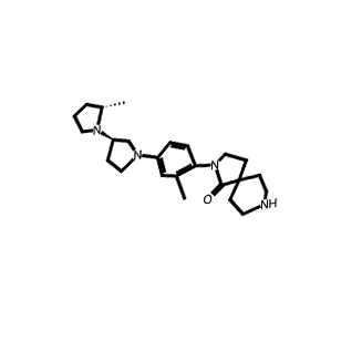 Cc1cc(N2CC[C@@H](N3CCC[C@@H]3C)C2)ccc1N1CCC2(CCNCC2)C1=O